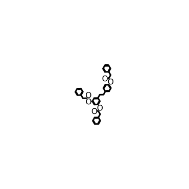 O=C(Cc1cc#ccc1)Oc1ccc(CCc2cc(OC(=O)Cc3ccccc3)cc(OC(=O)Cc3ccccc3)c2)cc1